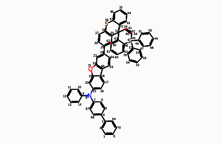 c1ccc(-c2ccc(N(c3ccccc3)c3ccc4c(c3)oc3cc(-c5ccc6c(c5)C5(c7ccccc7S6)c6ccccc6[Si](c6ccccc6)(c6ccccc6)c6ccccc65)ccc34)cc2)cc1